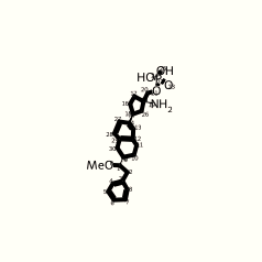 COC(Cc1ccccc1)[C@H]1CCc2cc([C@H]3CC[C@@](N)(COP(=O)(O)O)C3)ccc2C1